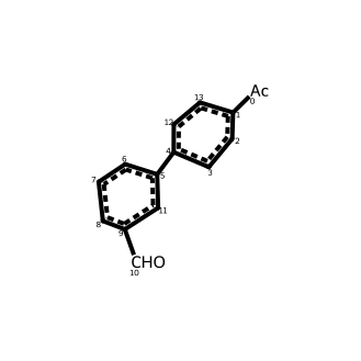 CC(=O)c1ccc(-c2cccc(C=O)c2)cc1